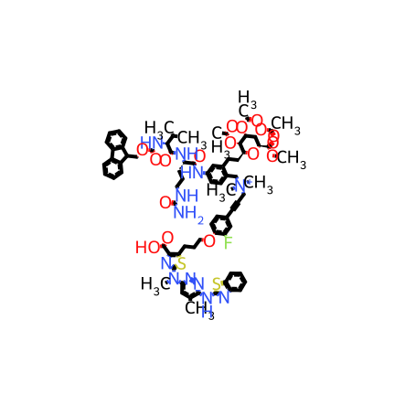 COC(=O)[C@H]1O[C@@H](CCc2cc(NC(=O)[C@H](CCCNC(N)=O)NC(=O)[C@@H](NC(=O)OCC3c4ccccc4-c4ccccc43)C(C)C)ccc2C[N+](C)(C)CC#Cc2ccc(OCCCc3sc(N(C)c4cc(C)c(Nc5nc6ccccc6s5)nn4)nc3C(=O)O)c(F)c2)[C@H](OC(C)=O)[C@@H](OC(C)=O)[C@@H]1OC(C)=O